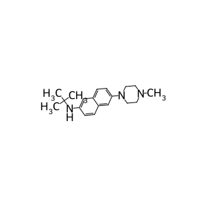 CN1CCN(c2ccc3cc(NC(C)(C)C)ccc3c2)CC1